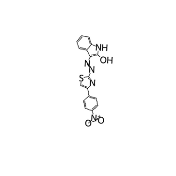 O=[N+]([O-])c1ccc(-c2csc(N=Nc3c(O)[nH]c4ccccc34)n2)cc1